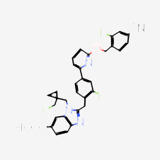 N#Cc1ccc(COc2cccc(-c3ccc(Cc4nc5ccc(C(=O)O)cc5n4CC4(CF)CC4)c(F)c3)n2)c(F)c1